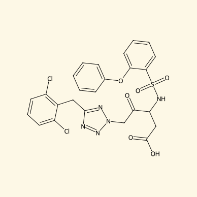 O=C(O)CC(NS(=O)(=O)c1ccccc1Oc1ccccc1)C(=O)Cn1nnc(Cc2c(Cl)cccc2Cl)n1